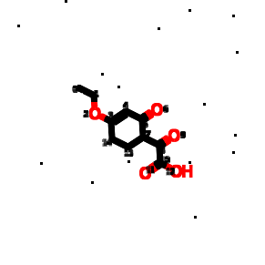 CCOC1=CC(=O)C(C(=O)C(=O)O)CC1